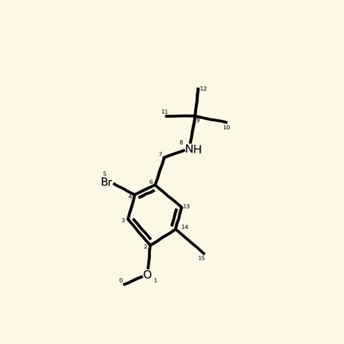 COc1cc(Br)c(CNC(C)(C)C)cc1C